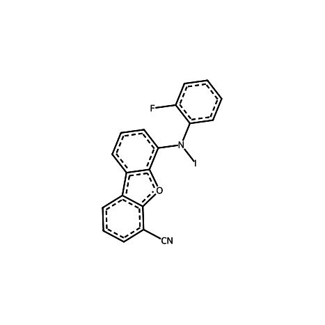 N#Cc1cccc2c1oc1c(N(I)c3ccccc3F)cccc12